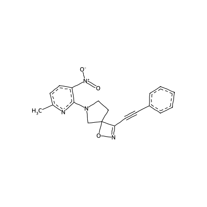 Cc1ccc([N+](=O)[O-])c(N2CCC3(C2)ON=C3C#Cc2ccccc2)n1